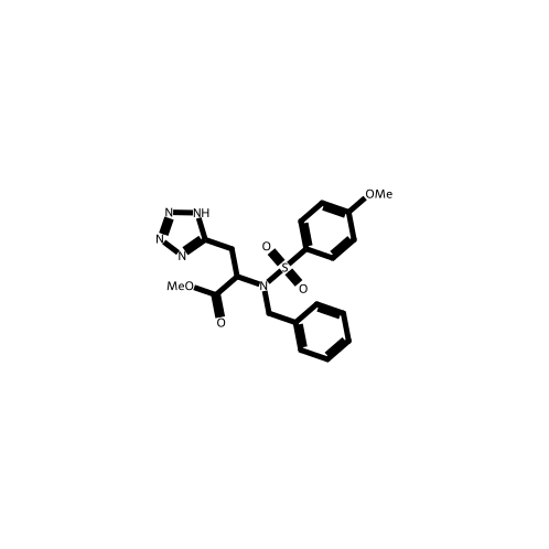 COC(=O)C(Cc1nnn[nH]1)N(Cc1ccccc1)S(=O)(=O)c1ccc(OC)cc1